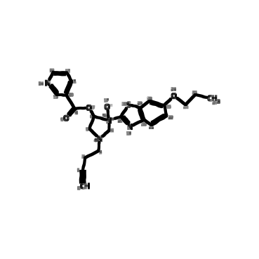 C#CCCN1CC(OC(=O)c2cccnc2)[N+]([O-])(c2nc3ccc(OCCC)cc3s2)C1